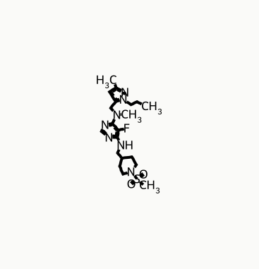 CCCn1nc(C)cc1CN(C)c1ncnc(NCC2CCN(S(C)(=O)=O)CC2)c1F